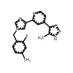 Cc1ccc(Cn2cnc(-c3cc(-c4nn[nH]c4C)ccn3)c2)c(F)c1